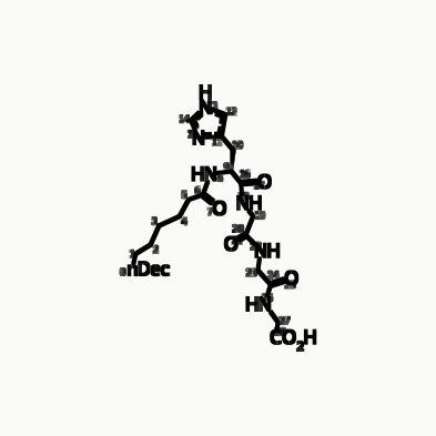 CCCCCCCCCCCCCCCC(=O)N[C@@H](Cc1c[nH]cn1)C(=O)NCC(=O)NCC(=O)NCC(=O)O